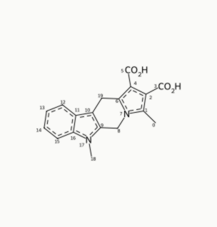 Cc1c(C(=O)O)c(C(=O)O)c2n1Cc1c(c3ccccc3n1C)C2